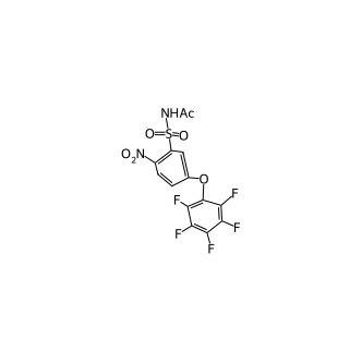 CC(=O)NS(=O)(=O)c1cc(Oc2c(F)c(F)c(F)c(F)c2F)ccc1[N+](=O)[O-]